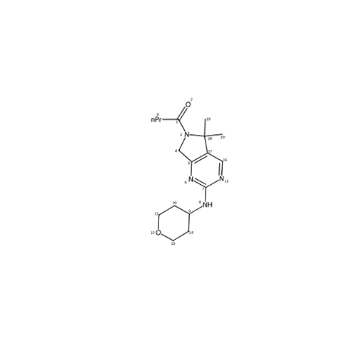 CCCC(=O)N1Cc2nc(NC3CCOCC3)ncc2C1(C)C